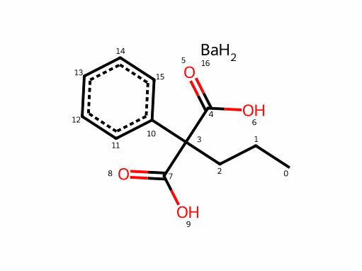 CCCC(C(=O)O)(C(=O)O)c1ccccc1.[BaH2]